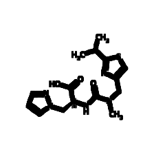 CC(C)c1nc(CN(C)C(=O)N[C@@H](Cn2cccn2)C(=O)O)cs1